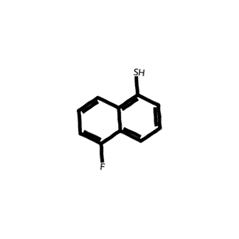 Fc1cccc2c(S)cccc12